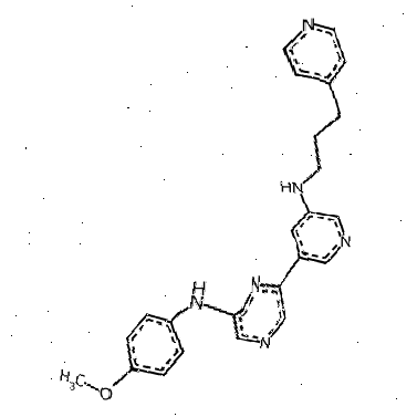 COc1ccc(Nc2cncc(-c3cncc(NCCCc4ccncc4)c3)n2)cc1